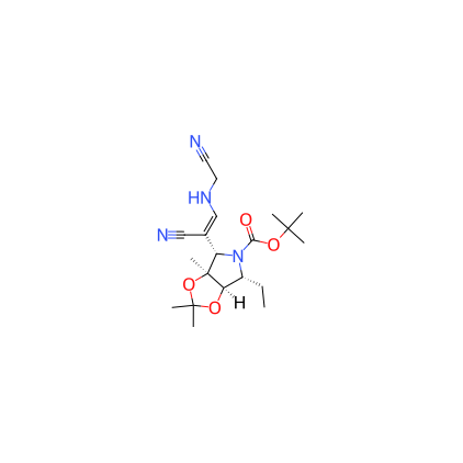 CC[C@@H]1[C@H]2OC(C)(C)O[C@@]2(C)[C@H](/C(C#N)=C/NCC#N)N1C(=O)OC(C)(C)C